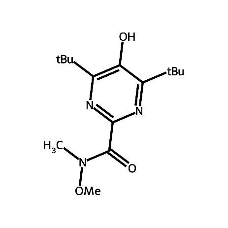 CON(C)C(=O)c1nc(C(C)(C)C)c(O)c(C(C)(C)C)n1